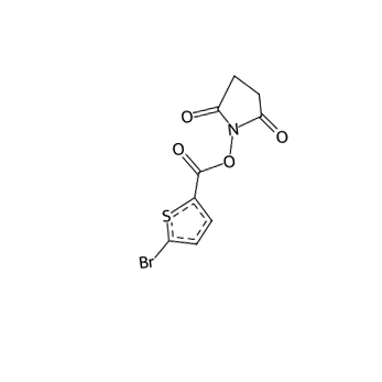 O=C(ON1C(=O)CCC1=O)c1ccc(Br)s1